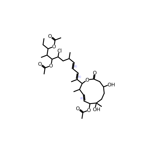 CCC(OC(C)=O)C(C)C(OC(C)=O)C(Cl)CC(C)/C=C/C=C(\C)C1OC(=O)CC(O)CCC(C)(O)C(OC(C)=O)/C=C/C1C